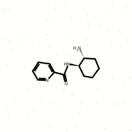 N[C@@H]1CCCC[C@H]1NC(=O)c1ccccn1